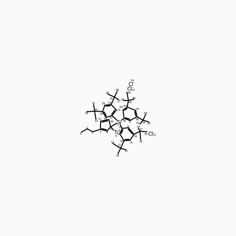 CCCC1=C[C]([Ti+3])([Si](c2cc(C(C)(C)C)cc(C(C)(C)C)c2)(c2cc(C(C)(C)C)cc(C(C)(C)C)c2)c2cc(C(C)(C)C)cc(C(C)(C)C)c2)C=C1.[Cl-].[Cl-].[Cl-]